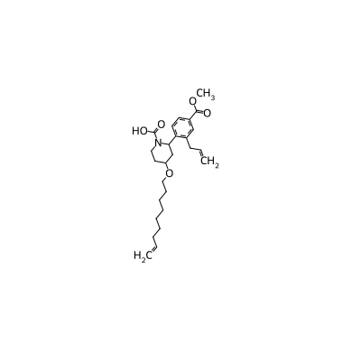 C=CCCCCCCCOC1CCN(C(=O)O)C(c2ccc(C(=O)OC)cc2CC=C)C1